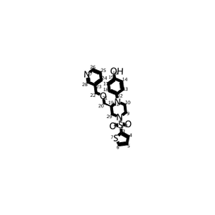 O=S(=O)(c1cccs1)N1CCN(c2ccc(O)cc2)[C@H](COCc2cccnc2)C1